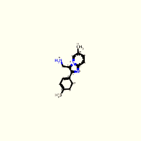 BC1=CC=C(c2nc3ccc(C)cn3c2CN)CC1